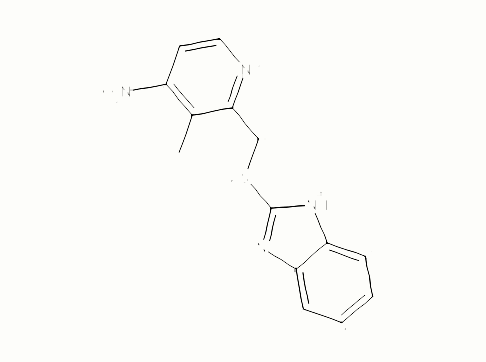 Cc1c([N+](=O)[O-])ccnc1CSc1nc2ccccc2[nH]1